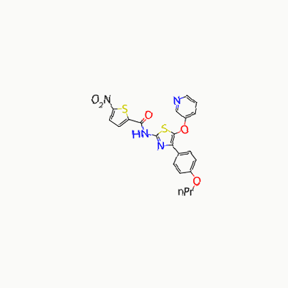 CCCOc1ccc(-c2nc(NC(=O)c3ccc([N+](=O)[O-])s3)sc2Oc2cccnc2)cc1